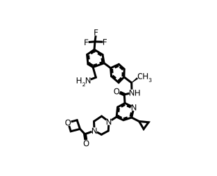 C[C@@H](NC(=O)c1cc(N2CCN(C(=O)C3COC3)CC2)cc(C2CC2)n1)c1ccc(-c2cc(C(F)(F)F)ccc2CN)cc1